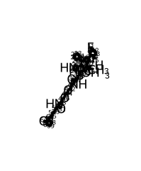 CC(C)(C)[C@H](c1cc(-c2cc(F)ccc2F)cn1Cc1ccccc1)N(CC1CCNC1)C(O)CSCCC(=O)NCCOCCOCCNC(=O)CCCCCN1CC=CC1=O